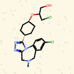 CN1Cc2cc(Cl)ccc2-n2c(nnc2[C@H]2CC[C@H](OC(CO)CCl)CC2)C1